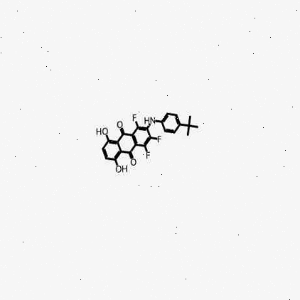 CC(C)(C)c1ccc(Nc2c(F)c(F)c3c(c2F)C(=O)c2c(O)ccc(O)c2C3=O)cc1